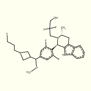 COC(c1cc(F)c([C@@H]2c3[nH]c4ccccc4c3C[C@@H](C)N2CC(F)(F)CO)c(F)c1)C1CN(CCCF)C1